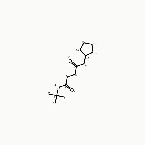 CC(C)(C)OC(=O)CCC(=O)CC1CCCC1